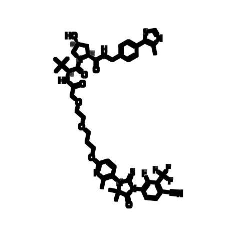 Cc1nc(OCCCOCCOCC(=O)N[C@H](C(=O)N2C[C@H](O)C[C@H]2C(=O)NCc2ccc(-c3scnc3C)cc2)C(C)(C)C)ccc1N1C(=S)N(c2ccc(C#N)c(C(F)(F)F)c2F)C(=O)C1(C)C